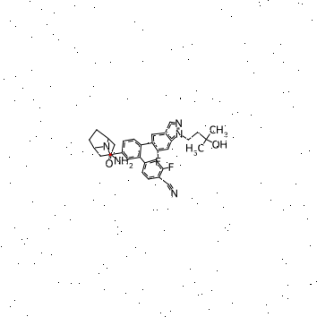 CC(C)(O)CCn1ncc2cc(-c3ccc(C(=O)N4C5CCC4CC(N)C5)cc3-c3ccc(C#N)c(F)c3)c(F)cc21